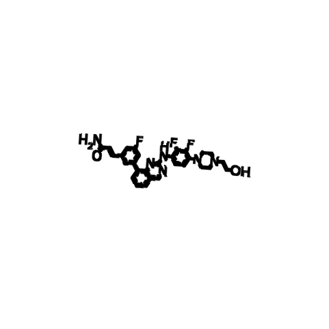 NC(=O)C=Cc1cc(F)cc(-c2cccc3cnc(Nc4ccc(N5CCN(CCO)CC5)c(F)c4F)nc23)c1